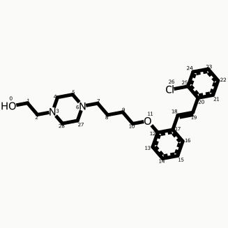 OCCN1CCN(CCCCOc2ccccc2/C=C/c2ccccc2Cl)CC1